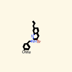 C=CCc1ccc2cc(Br)c(NCc3ccc(OC)cc3)nc2c1